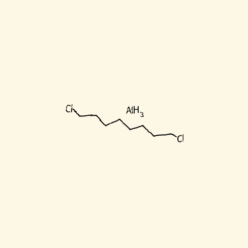 ClCCCCCCCCCl.[AlH3]